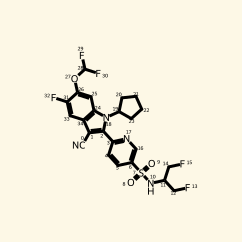 N#Cc1c(-c2ccc(S(=O)(=O)NC(CF)CF)cn2)n(C2CCCC2)c2cc(OC(F)F)c(F)cc12